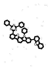 c1ccc(-c2nc(-c3ccccc3)nc(-c3cccc4c3oc3c4ccc4c5ccc(-c6cccc7c6oc6ccccc67)cc5n(-c5ccccc5)c43)n2)cc1